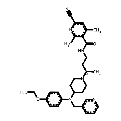 CCOc1ccc(N(Cc2cccnc2)C2CCN([C@H](C)CCNC(=O)c3c(C)cc(C#N)nc3C)CC2)cc1